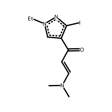 CCn1cc(C(=O)C=CN(C)C)c(I)n1